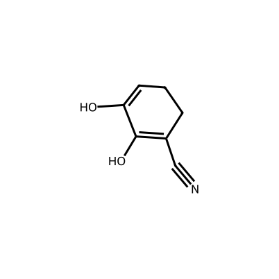 N#CC1=C(O)C(O)=CCC1